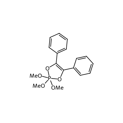 COP1(OC)(OC)OC(c2ccccc2)=C(c2ccccc2)O1